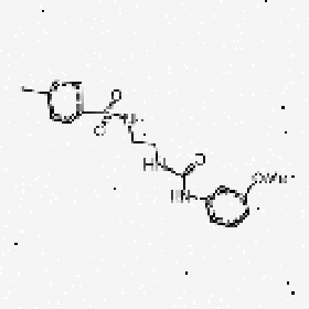 COc1cccc(NC(=O)NCCNS(=O)(=O)c2ccc(C)cc2)c1